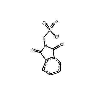 O=C1c2ccccc2C(=O)N1CS(=O)(=O)Cl